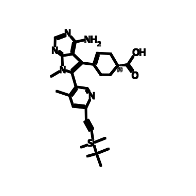 Cc1cc(C#C[Si](C)(C)C(C)(C)C)ncc1-c1c(C2=CC[C@@H](C(=O)O)CC2)c2c(N)ncnc2n1C